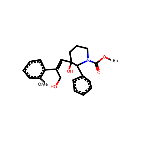 COc1ccccc1C(=CC1(O)CCCN(C(=O)OC(C)(C)C)C1c1ccccc1)CO